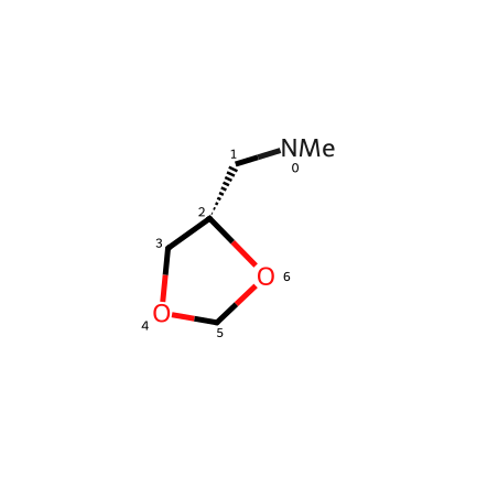 CNC[C@H]1COCO1